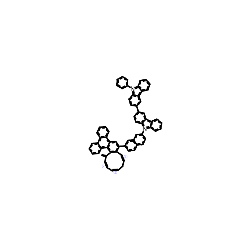 C=C1/C=C\C=C/C/C=C\c2c(-c3ccc4ccc(-n5c6ccccc6c6cc(-c7ccc8c(c7)c7ccccc7n8-c7ccccc7)ccc65)cc4c3)cc3c4ccccc4c4ccccc4c3c21